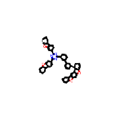 c1cc(-c2cccc(-c3cccc4oc5cc6oc7ccccc7c6cc5c34)c2)cc(-c2nc(-c3ccc4c(c3)oc3ccccc34)nc(-c3ccc4c(c3)oc3ccccc34)n2)c1